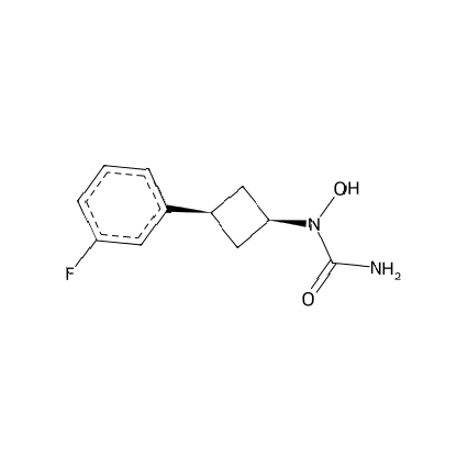 NC(=O)N(O)[C@H]1C[C@@H](c2cccc(F)c2)C1